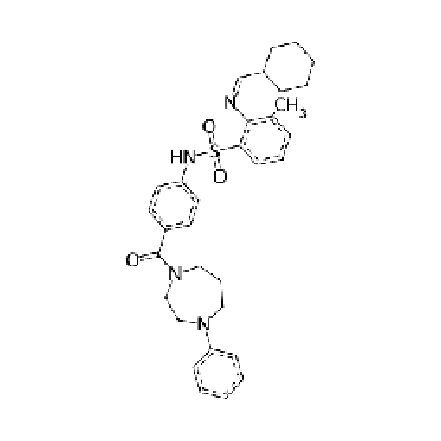 Cc1cccc(S(=O)(=O)Nc2ccc(C(=O)N3CCCN(c4ccccc4)CC3)cc2)c1/N=C\C1CCCCC1